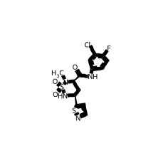 CN1[C@@H](C(=O)Nc2ccc(F)c(Cl)c2)C[C@@H](c2ccns2)NS1(=O)=O